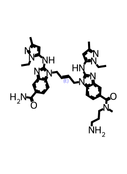 CCn1nc(C)cc1Nc1nc2cc(C(N)=O)ccc2n1C/C=C/Cn1c(Nc2cc(C)nn2CC)nc2cc(C(=O)N(C)CCCN)ccc21